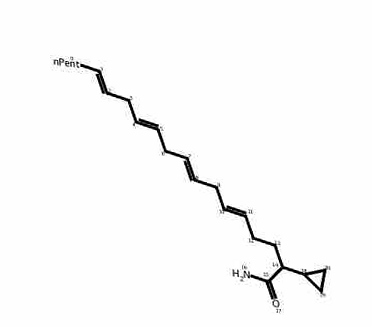 CCCCCC=CCC=CCC=CCC=CCCC(C(N)=O)C1CC1